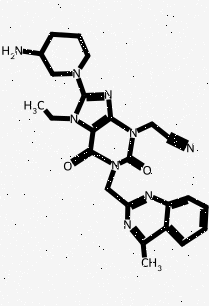 CCn1c(N2CCCC(N)C2)nc2c1c(=O)n(Cc1nc(C)c3ccccc3n1)c(=O)n2CC#N